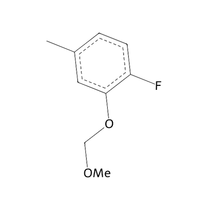 COCOc1cc(C)ccc1F